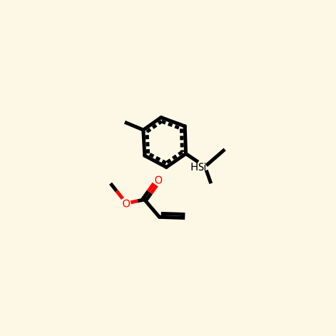 C=CC(=O)OC.Cc1ccc([SiH](C)C)cc1